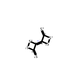 S=C1SS/C1=C1/SSC1=S